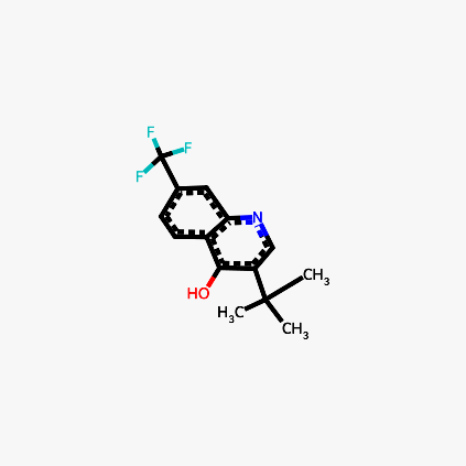 CC(C)(C)c1cnc2cc(C(F)(F)F)ccc2c1O